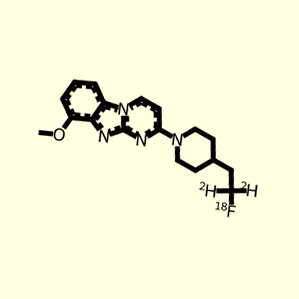 [2H]C([2H])([18F])CC1CCN(c2ccn3c(n2)nc2c(OC)cccc23)CC1